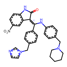 O=C1Nc2ccc([N+](=O)[O-])cc2/C1=C(/Nc1ccc(CN2CCCCC2)cc1)c1ccc(Cn2ccnc2)cc1